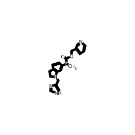 CN(C(=O)OCc1cccnc1)c1ccc2c(c1)N(Cc1c[nH]cn1)CC2